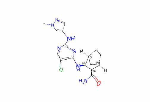 Cn1cc(Nc2ncc(Cl)c(N[C@H]3[C@H]4CC[C@H](C4)[C@H]3C(N)=O)n2)cn1